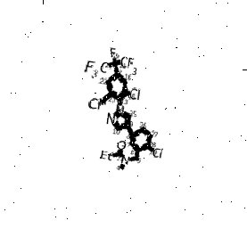 CCC(=O)N(C)Cc1cc(-c2cnn(-c3c(Cl)cc(C(F)(C(F)(F)F)C(F)(F)F)cc3Cl)c2)ccc1Cl